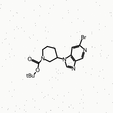 CC(C)(C)OC(=O)N1CCCC(n2cnc3cnc(Br)cc32)C1